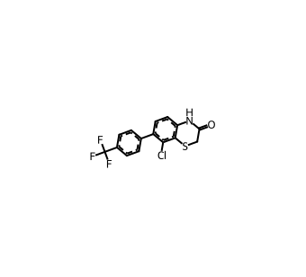 O=C1CSc2c(ccc(-c3ccc(C(F)(F)F)cc3)c2Cl)N1